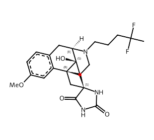 COc1ccc2c(c1)[C@]13CCN(CCCC(C)(F)F)[C@H](C2)[C@]1(O)CC[C@@]1(C3)NC(=O)NC1=O